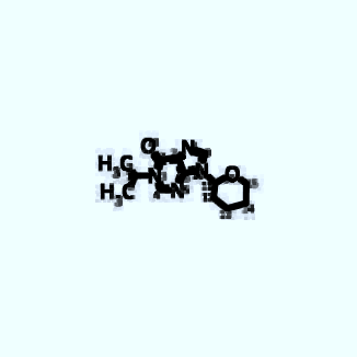 CC(C)n1cnc2c(ncn2C2CCCCO2)c1=O